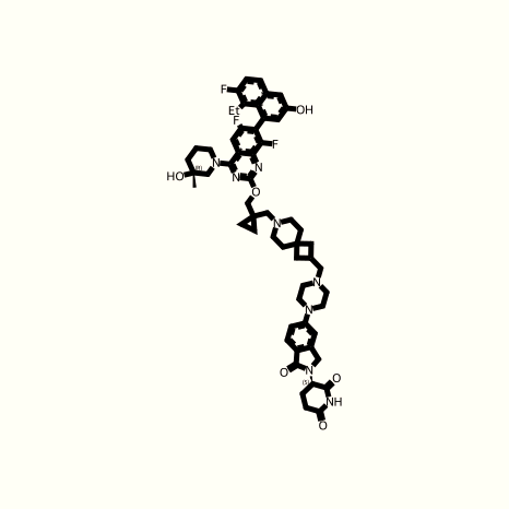 CCc1c(F)ccc2cc(O)cc(-c3c(F)cc4c(N5CCC[C@@](C)(O)C5)nc(OCC5(CN6CCC7(CC6)CC(CN6CCN(c8ccc9c(c8)CN([C@H]8CCC(=O)NC8=O)C9=O)CC6)C7)CC5)nc4c3F)c12